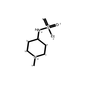 C=S(=O)(CC)NC1CCN(C)CC1